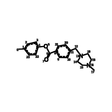 Cc1ccc(OC(=O)c2ccc(CN3CCN(C)CC3)cc2)cc1